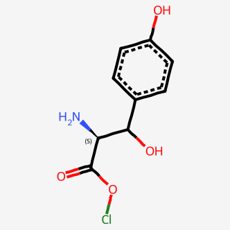 N[C@H](C(=O)OCl)C(O)c1ccc(O)cc1